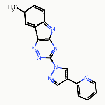 CC1C=CC2=Nc3nc(-n4cc(-c5ccccn5)cn4)nnc3C2=C1